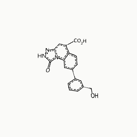 O=C(O)c1cc2n[nH]c(=O)n2c2cc(-c3cccc(CO)c3)ccc12